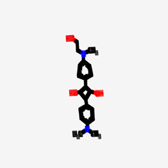 CN(C)c1ccc(C2C(O)C(c3ccc(N(C)CCO)cc3)C2O)cc1